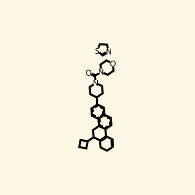 C1=NCCS1.O=C(N1CCOCC1)N1CCC(c2ccc3c4c(ccc3c2)C2=C(CCC=C2)C(C2CCC2)C4)CC1